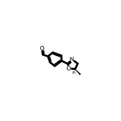 C[C@@H]1CN=C(c2ccc(C=O)cc2)O1